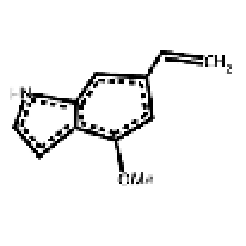 C=Cc1cc(OC)c2cc[nH]c2c1